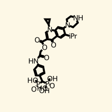 CC(C)c1cc2c(=O)c(C(=O)OCC(=O)Nc3ccc(C(P(=O)(O)O)P(=O)(O)O)cc3)cn(C3CC3)c2cc1N1CCNCC1